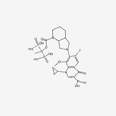 COc1c(N2CC3CCCN(C(=O)OC(C)(P(=O)(O)O)P(=O)(O)O)C3C2)c(F)cc2c(=O)c(C(=O)O)cn(C3CC3)c12